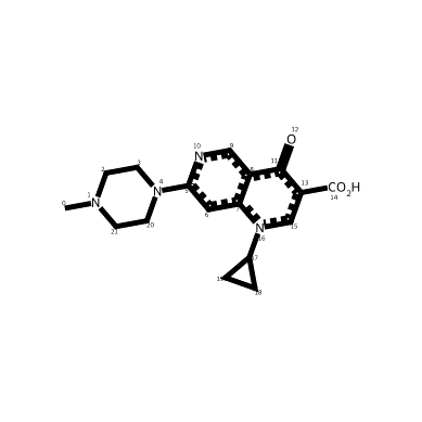 CN1CCN(c2cc3c(cn2)c(=O)c(C(=O)O)cn3C2CC2)CC1